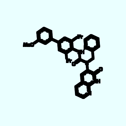 COc1cccc(-c2cc(C(C)C)c(NC(=O)N(Cc3ccccn3)c3cc4cccnc4[nH]c3=O)c(C(C)C)c2)c1